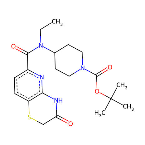 CCN(C(=O)c1ccc2c(n1)NC(=O)CS2)C1CCN(C(=O)OC(C)(C)C)CC1